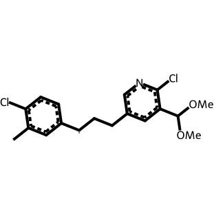 COC(OC)c1cc(CC[CH]c2ccc(Cl)c(C)c2)cnc1Cl